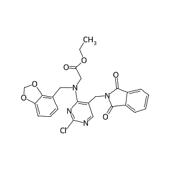 CCOC(=O)CN(Cc1cccc2c1OCO2)c1nc(Cl)ncc1CN1C(=O)c2ccccc2C1=O